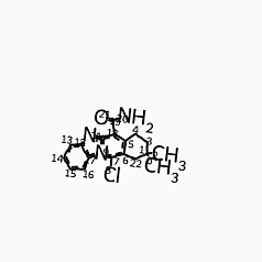 CC1(C)CCc2c(c(Cl)n3c(nc4ccccc43)c2C(N)=O)C1